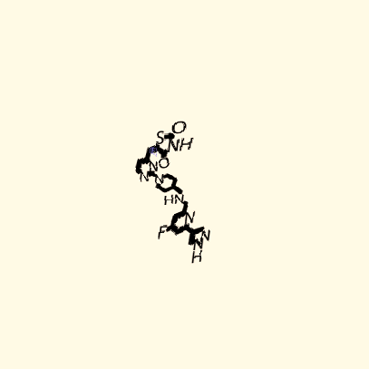 O=C1NC(=O)/C(=C\c2ccnc(N3CCC(CNCc4cc(F)cc(-c5cn[nH]c5)n4)CC3)n2)S1